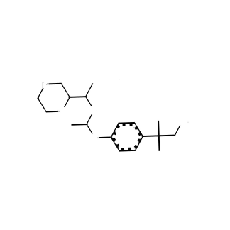 CC(Oc1ccc(C(C)(C)CC(C)(C)C)cc1)OC(C)C1CNCCO1.Cl